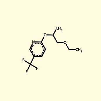 CCOCC(C)Oc1ccc(C(F)(F)F)cn1